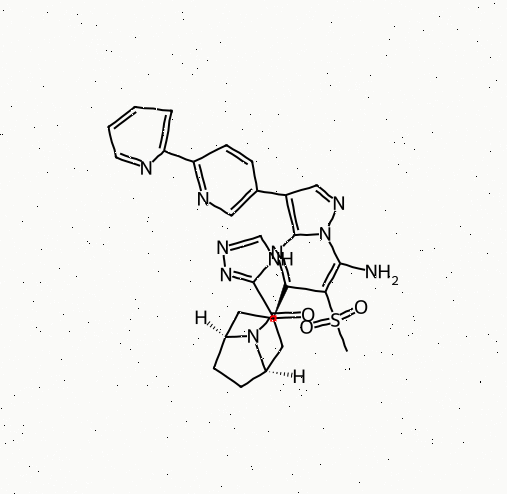 CS(=O)(=O)c1c([C@H]2C[C@H]3CC[C@@H](C2)N3C(=O)c2nnc[nH]2)nc2c(-c3ccc(-c4ccccn4)nc3)cnn2c1N